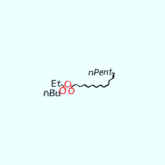 CCCCC/C=C\C/C=C\CCCCCCCC(=O)OC(CC)OCCCC